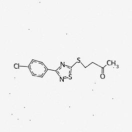 CC(=O)CCSc1nc(-c2ccc(Cl)cc2)ns1